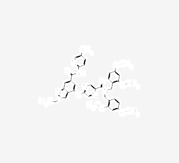 CCn1cc2c(Oc3cnc(C(=O)N(Cc4ccc(OC)cc4OC)Cc4ccc(OC)cc4OC)cn3)cc(C(=O)Nc3ccc(C)cn3)cc2n1